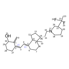 C=C1/C(=C\C=C2/CCCC3(C)C2CC[C@@H]3CCN2CCCC(C(C)(F)F)C2)CCCC1O